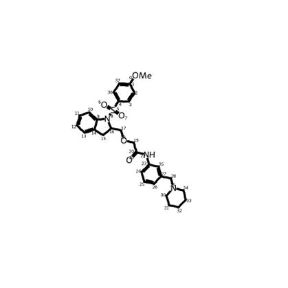 COc1ccc(S(=O)(=O)N2c3ccccc3CC2COCC(=O)Nc2cccc(CN3CCCCC3)c2)cc1